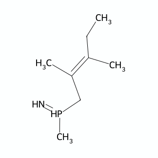 CC/C(C)=C(\C)C[PH](C)=N